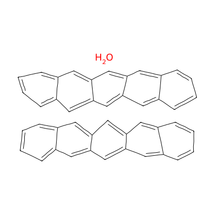 O.c1ccc2cc3cc4cc5ccccc5cc4cc3cc2c1.c1ccc2cc3cc4cc5ccccc5cc4cc3cc2c1